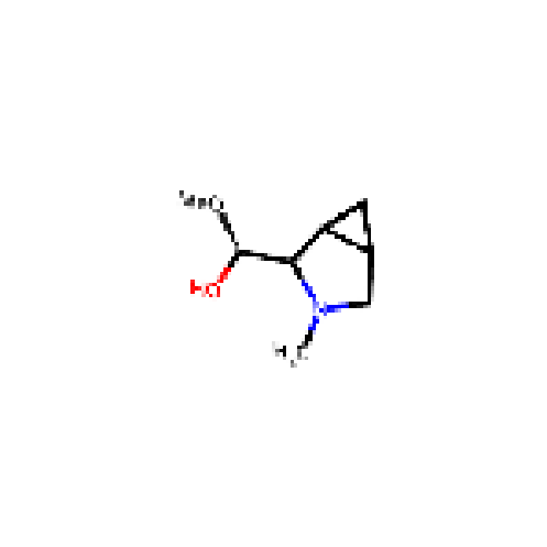 CO[C@H](O)C1C2CC2CN1C